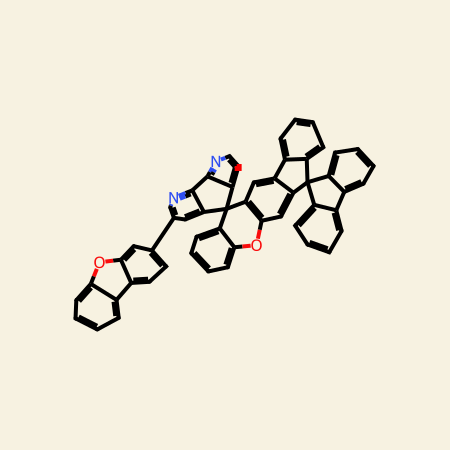 c1ccc2c(c1)Oc1cc3c(cc1C21c2cccnc2-c2ncc(-c4ccc5c(c4)oc4ccccc45)cc21)-c1ccccc1C31c2ccccc2-c2ccccc21